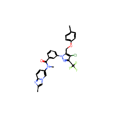 Cc1ccc(OCc2c(Cl)c(C(F)(F)F)nn2-c2cccc(C(=O)N(C)c3ccc4nc(C)cn4c3)c2)cc1